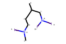 CC(CCN(C)I)CN(I)I